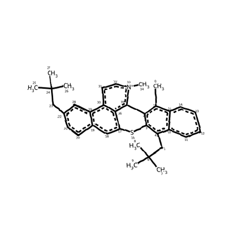 Cc1c2c(c(CC(C)(C)C)c3ccccc13)Sc1cc3ccc(CC(C)(C)C)cc3c3cc[n+](C)c-2c13